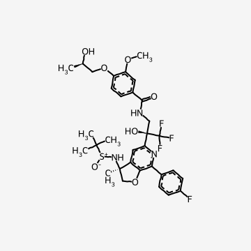 COc1cc(C(=O)NC[C@@](O)(c2cc3c(c(-c4ccc(F)cc4)n2)OC[C@@]3(C)N[S+]([O-])C(C)(C)C)C(F)(F)F)ccc1OC[C@@H](C)O